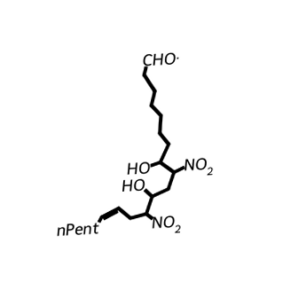 CCCCC/C=C\CC(C(O)CC(C(O)CCCCCC[C]=O)[N+](=O)[O-])[N+](=O)[O-]